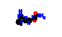 Cc1cccc(-c2n[nH]cc2-c2ccc3ncc(-c4nc(C(N)=O)co4)cc3n2)n1